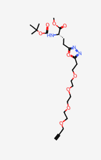 C#CCOCCOCCOCCOCCc1nnc(CC[C@H](NC(=O)OC(C)(C)C)C(=O)OC)o1